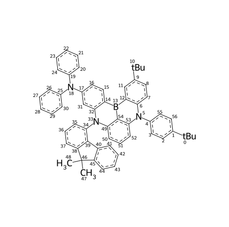 CC(C)(C)c1ccc(N2c3ccc(C(C)(C)C)cc3B3c4ccc(N(c5ccccc5)c5ccccc5)cc4N(c4cccc5c4-c4ccccc4C5(C)C)c4cccc2c43)cc1